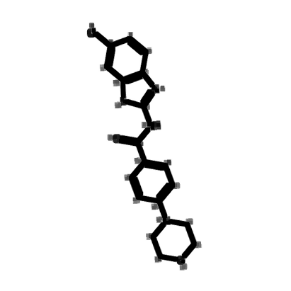 O=C(Nc1nc2ccc(Cl)cc2s1)c1ccc(N2CCOCC2)cc1